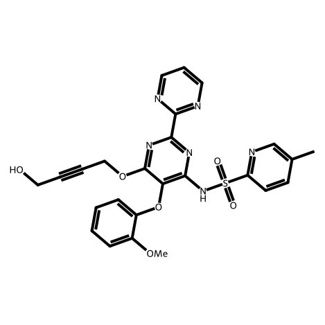 COc1ccccc1Oc1c(NS(=O)(=O)c2ccc(C)cn2)nc(-c2ncccn2)nc1OCC#CCO